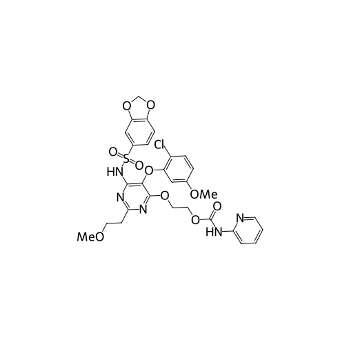 COCCc1nc(NS(=O)(=O)c2ccc3c(c2)OCO3)c(Oc2cc(OC)ccc2Cl)c(OCCOC(=O)Nc2ccccn2)n1